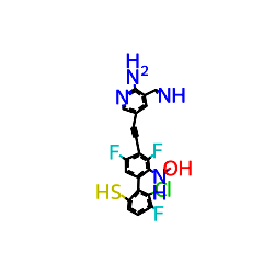 N=Cc1cc(C#Cc2c(F)cc(-c3c(S)ccc(F)c3Cl)c(NO)c2F)cnc1N